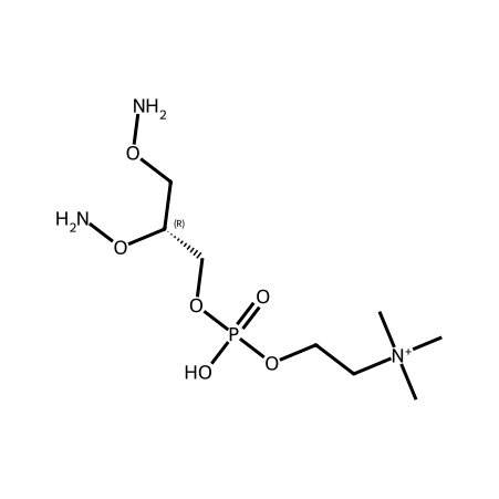 C[N+](C)(C)CCOP(=O)(O)OC[C@@H](CON)ON